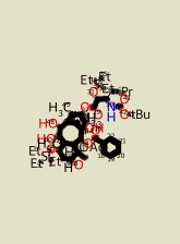 CC[Si](CC)(CC)OC1C[C@H]2OC[C@@]2(OC(C)=O)[C@H]2[C@H](OC(=O)c3ccccc3)[C@]3(O)C[C@H](OC(=O)[C@H](O[Si](CC)(CC)CC)[C@H](CC(C)C)NC(=O)OC(C)(C)C)C(C)=C([C@H](O)[C@H](O)[C@]12C)C3(C)C